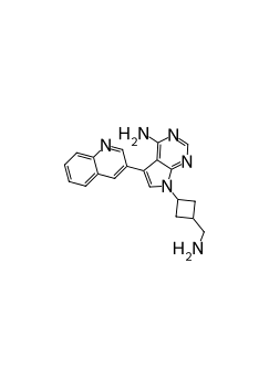 NCC1CC(n2cc(-c3cnc4ccccc4c3)c3c(N)ncnc32)C1